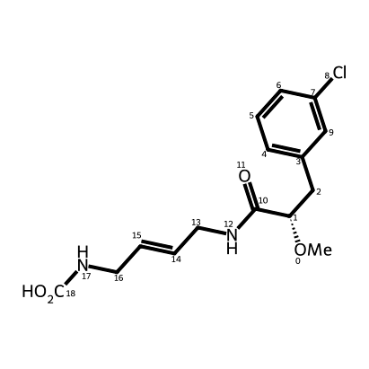 CO[C@@H](Cc1cccc(Cl)c1)C(=O)NC/C=C/CNC(=O)O